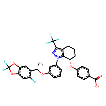 C[C@H](Oc1cccc(-n2nc(C(F)(F)F)c3c2[C@@H](Oc2ccc(C(=O)O)cc2)CCC3)c1)c1cc2c(cc1F)OC(F)(F)O2